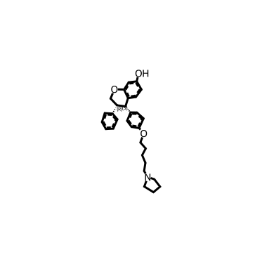 Oc1ccc2c(c1)OC[C@@H](c1ccccc1)[C@H]2c1ccc(OCCCCCN2CCCC2)cc1